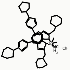 Cl.Cl.[CH3][Zr]([CH3])(=[SiH2])([CH]1C(CC2CCCCC2)=Cc2c(-c3ccc(C4CCCCC4)cc3)cccc21)[CH]1C(CC2CCCCC2)=Cc2c(-c3ccc(C4CCCCC4)cc3)cccc21